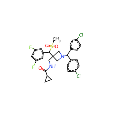 CS(=O)(=O)C(c1cc(F)cc(F)c1)C1(CNC(=O)C2CC2)CN(C(c2ccc(Cl)cc2)c2ccc(Cl)cc2)C1